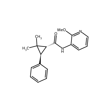 COc1ncccc1NC(=O)[C@@H]1[C@@H](c2ccccc2)C1(C)C